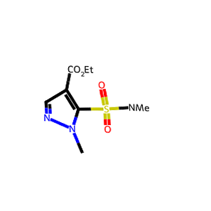 CCOC(=O)c1cnn(C)c1S(=O)(=O)NC